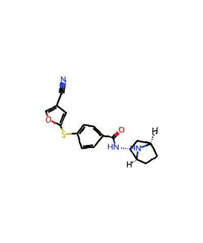 N#Cc1coc(Sc2ccc(C(=O)N[C@@H]3C[C@H]4CC[C@@H]3N4)cc2)c1